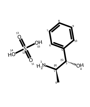 C[C@@H](N)[C@@H](O)c1ccccc1.O=S(=O)(O)O